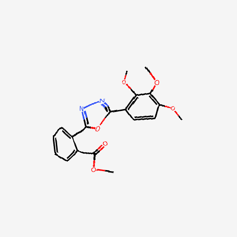 COC(=O)c1ccccc1-c1nnc(-c2ccc(OC)c(OC)c2OC)o1